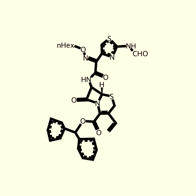 C=CC1=C(C(=O)OC(c2ccccc2)c2ccccc2)N2C(=O)C(NC(=O)C(=NOCCCCCC)c3csc(NC=O)n3)[C@@H]2SC1